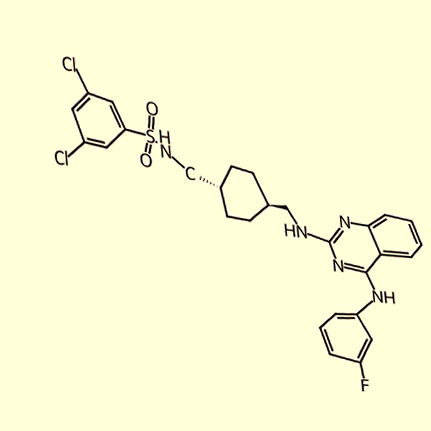 O=S(=O)(NC[C@H]1CC[C@H](CNc2nc(Nc3cccc(F)c3)c3ccccc3n2)CC1)c1cc(Cl)cc(Cl)c1